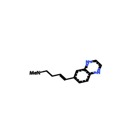 CNCCC=Cc1ccc2nccnc2c1